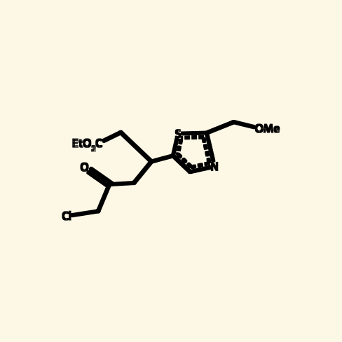 CCOC(=O)CC(CC(=O)CCl)c1cnc(COC)s1